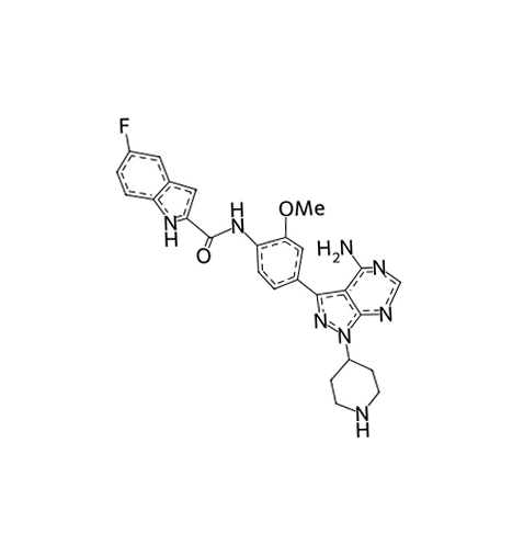 COc1cc(-c2nn(C3CCNCC3)c3ncnc(N)c23)ccc1NC(=O)c1cc2cc(F)ccc2[nH]1